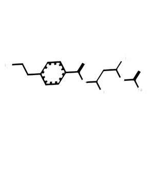 CCCc1ccc(C(=O)OC(C)CC(C)OC(N)=O)cc1